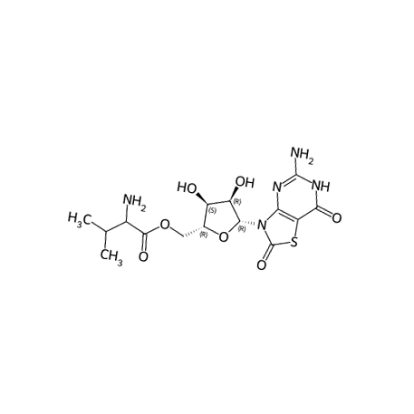 CC(C)C(N)C(=O)OC[C@H]1O[C@@H](n2c(=O)sc3c(=O)[nH]c(N)nc32)[C@H](O)[C@@H]1O